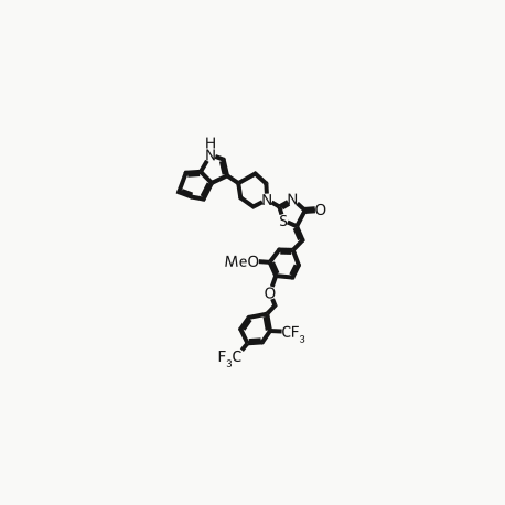 COc1cc(C=C2SC(N3CCC(c4c[nH]c5ccccc45)CC3)=NC2=O)ccc1OCc1ccc(C(F)(F)F)cc1C(F)(F)F